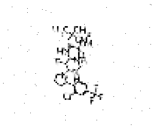 CC(C)(C)C[C@@H](NC1NCNC(N2CCCC2c2ccc(C(F)(F)F)cc2Cl)C1F)C(=O)O